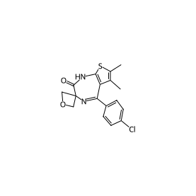 Cc1sc2c(c1C)C(c1ccc(Cl)cc1)=NC1(COC1)C(=O)N2